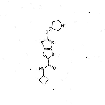 O=C(NC1CCC1)c1cc2sc(O[C@@H]3CCNC3)nc2s1